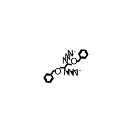 [N-]=[N+]=NC(COCc1ccccc1)C(COCc1ccccc1)N=[N+]=[N-]